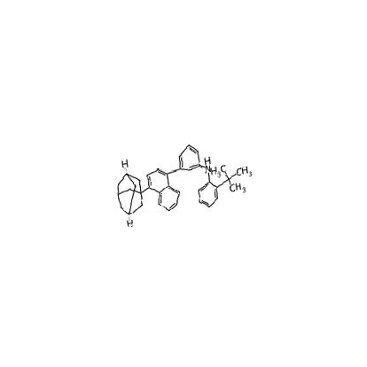 CC(C)(C)c1ccccc1Nc1cccc(-c2ccc(C34CC5C[C@H](C3)C[C@@H](C5)C4)c3ccccc23)c1